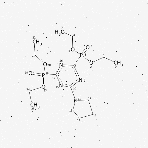 CCOP(=O)(OCC)c1nc(N2CCCC2)nc(P(=O)(OCC)OCC)n1